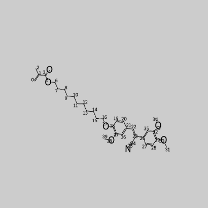 C=C(C)C(=O)OCCCCCCCCCCCOc1ccc(C=C(C#N)c2ccc(OC)c(OC)c2)cc1OC